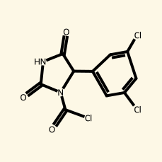 O=C1NC(=O)N(C(=O)Cl)C1c1cc(Cl)cc(Cl)c1